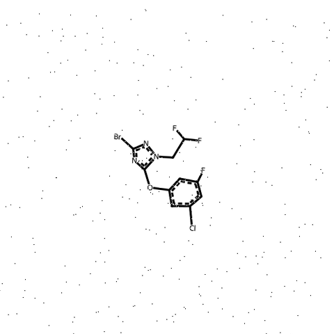 Fc1cc(Cl)cc(Oc2nc(Br)nn2CC(F)F)c1